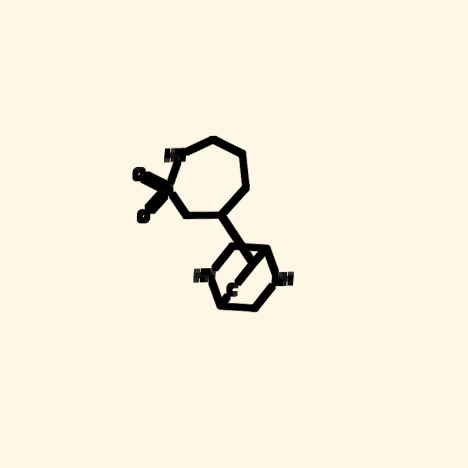 O=S1(=O)CC(C2CC3CNC2CN3)CCCN1